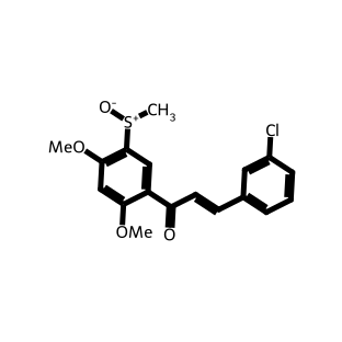 COc1cc(OC)c([S+](C)[O-])cc1C(=O)C=Cc1cccc(Cl)c1